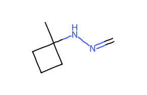 C=NNC1(C)CCC1